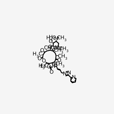 CC[C@H]1OC(=O)[C@H](C)C(=O)[C@H](C)[C@@H](O[C@@H]2O[C@H](C)CC(N(C)C)C2O)[C@](C)(OC)C[C@@H](C)C(=O)[C@H](C)[C@H]2N(C/C=C/Cn3cnc(-c4ccccn4)c3)C(=O)O[C@]12C